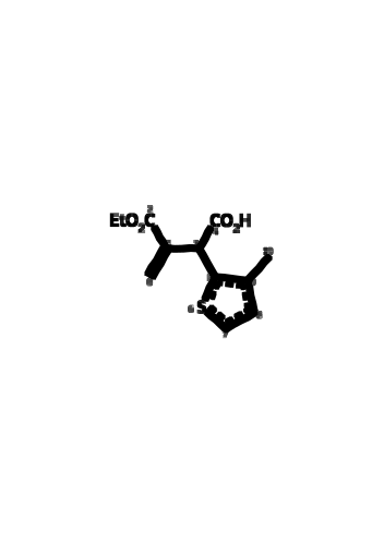 C=C(C(=O)OCC)C(C(=O)O)c1sccc1C